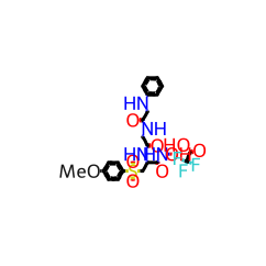 COc1ccc(S(=O)(=O)CC(NC(=O)CNC(=O)CNc2ccccc2)C(=O)NO)cc1.O=C(O)C(F)(F)F